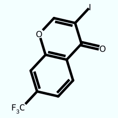 O=c1c(I)coc2cc(C(F)(F)F)ccc12